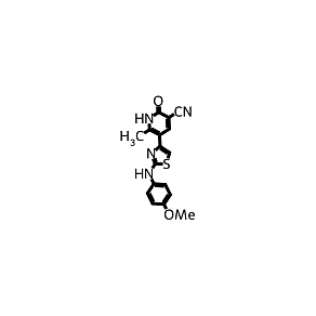 COc1ccc(Nc2nc(-c3cc(C#N)c(=O)[nH]c3C)cs2)cc1